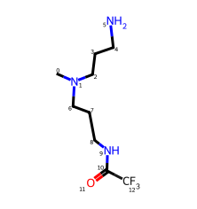 CN(CCCN)CCCNC(=O)C(F)(F)F